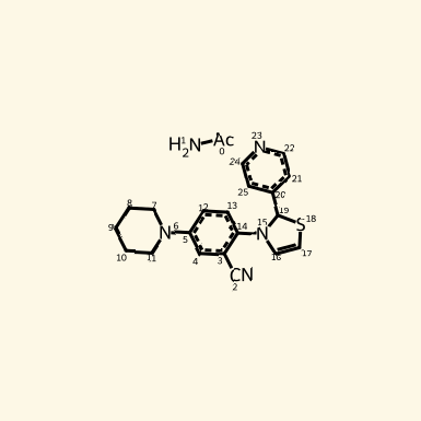 CC(N)=O.N#Cc1cc(N2CCCCC2)ccc1N1C=CSC1c1ccncc1